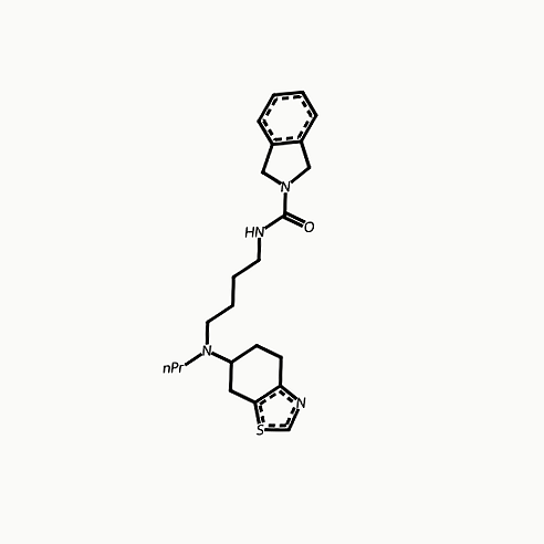 CCCN(CCCCNC(=O)N1Cc2ccccc2C1)C1CCc2ncsc2C1